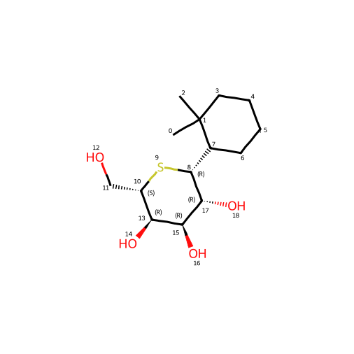 CC1(C)CC[CH]CC1[C@H]1S[C@@H](CO)[C@H](O)[C@H](O)[C@H]1O